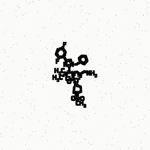 CC(C)(C)[C@H](c1nc(-c2cc(F)ccc2F)cn1Cc1ccccc1)N(C[C@@H](F)CN)C(=O)ON1CCN(S(C)(=O)=O)CC1